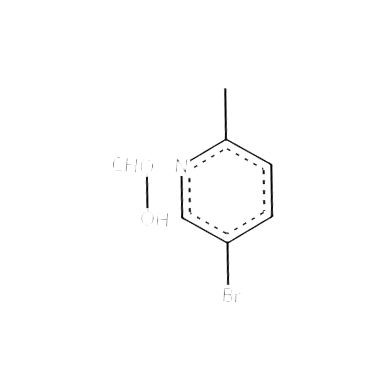 Cc1ccc(Br)cn1.O=CO